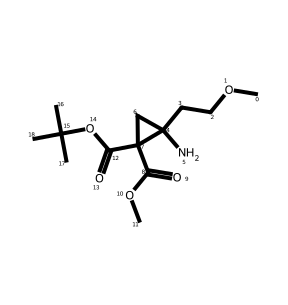 COCCC1(N)CC1(C(=O)OC)C(=O)OC(C)(C)C